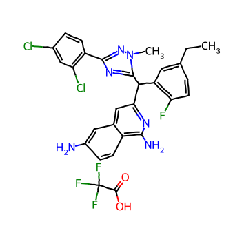 CCc1ccc(F)c(C(c2cc3cc(N)ccc3c(N)n2)c2nc(-c3ccc(Cl)cc3Cl)nn2C)c1.O=C(O)C(F)(F)F